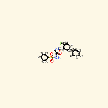 O=S(=O)(Nc1cnc(-c2cc(-c3ccccc3)ccc2F)o1)c1ccccc1